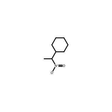 CC(C1CCCCC1)[N+](=O)[O-]